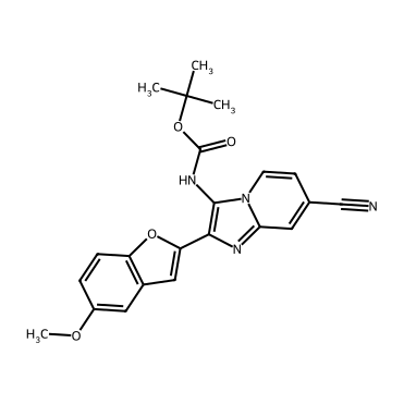 COc1ccc2oc(-c3nc4cc(C#N)ccn4c3NC(=O)OC(C)(C)C)cc2c1